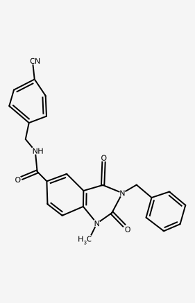 Cn1c(=O)n(Cc2ccccc2)c(=O)c2cc(C(=O)NCc3ccc(C#N)cc3)ccc21